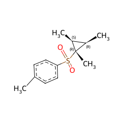 Cc1ccc(S(=O)(=O)[C@@]2(C)[C@H](C)[C@@H]2C)cc1